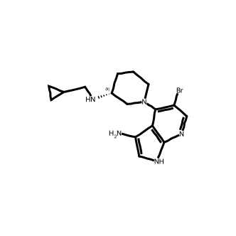 Nc1c[nH]c2ncc(Br)c(N3CCC[C@@H](NCC4CC4)C3)c12